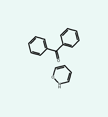 C1=CNOC=C1.O=C(c1ccccc1)c1ccccc1